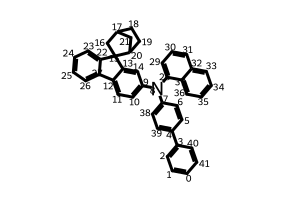 c1ccc(-c2ccc(N(c3ccc4c(c3)C3(CC5CCC3C5)c3ccccc3-4)c3cccc4ccccc34)cc2)cc1